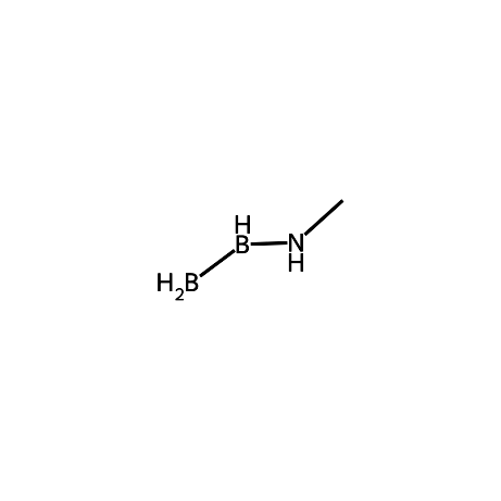 BBNC